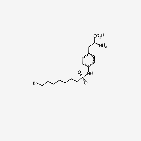 NC(Cc1ccc(NS(=O)(=O)CCCCCCCBr)cc1)C(=O)O